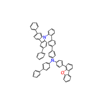 c1ccc(-c2ccc(N(c3ccc(-c4ccc(-c5ccccc5-n5c6ccc(-c7ccccc7)cc6c6ccc(-c7ccccc7)cc65)cc4)cc3)c3ccc(-c4cccc5c4oc4ccccc45)cc3)cc2)cc1